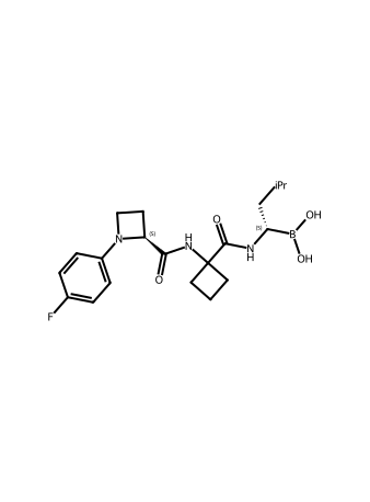 CC(C)C[C@@H](NC(=O)C1(NC(=O)[C@@H]2CCN2c2ccc(F)cc2)CCC1)B(O)O